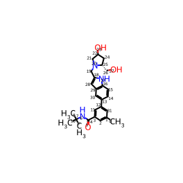 Cc1cc(C(=O)NC(C)(C)C)cc(-c2ccc3[nH]c(CN4CC(O)C[C@@H]4CO)cc3c2)c1